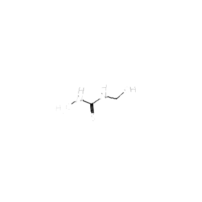 [CH2]NC(=S)NCC